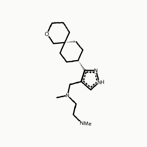 CNCCN(C)Cc1c[nH]nc1[C@H]1CC[C@]2(CCCOC2)CC1